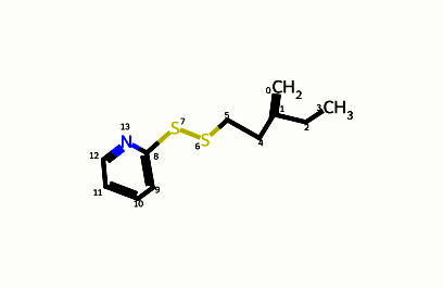 C=C(CC)CCSSc1ccccn1